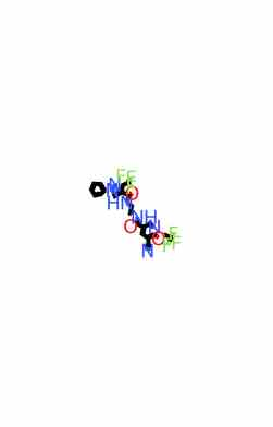 N#Cc1cc(C(=O)NCCNC(=O)c2cn(-c3ccccc3)nc2C(F)(F)F)cnc1OCC(F)(F)F